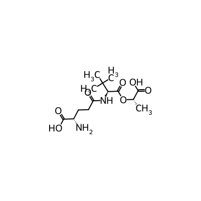 C[C@H](OC(=O)[C@@H](NC(=O)CC[C@H](N)C(=O)O)C(C)(C)C)C(=O)O